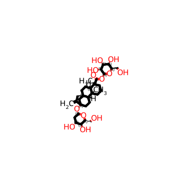 C=C1C[C@@]23CC[C@H]4[C@@](C)(CCC[C@@]4(C)C(=O)O[C@@H]4O[C@H](CO)[C@@H](O)[C@H](O)[C@H]4O)[C@@H]2CC[C@@]1(O[C@H]1C[C@@H](O)[C@H](O)[C@@H](CO)O1)C3